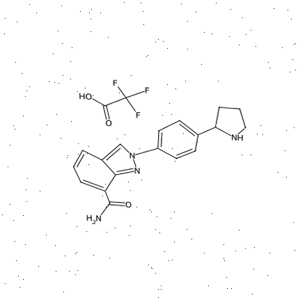 NC(=O)c1cccc2cn(-c3ccc(C4CCCN4)cc3)nc12.O=C(O)C(F)(F)F